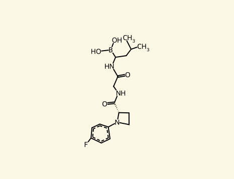 CC(C)CC(NC(=O)CNC(=O)[C@@H]1CCN1c1ccc(F)cc1)B(O)O